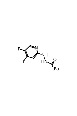 CC(C)(C)C(=O)NNc1cc(I)c(F)cn1